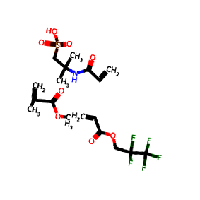 C=C(C)C(=O)OC.C=CC(=O)NC(C)(C)CS(=O)(=O)O.C=CC(=O)OCC(F)(F)C(F)(F)F